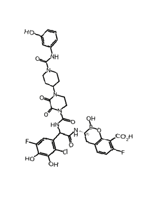 O=C(O)c1c(F)ccc2c1OB(O)[C@@H](NC(=O)C(NC(=O)N1CCN(C3CCN(C(=O)Nc4cccc(O)c4)CC3)C(=O)C1=O)c1cc(F)c(O)c(O)c1Cl)C2